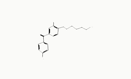 O=C(c1ccc(Br)cc1)c1ccc(CCCCCCBr)c(F)c1